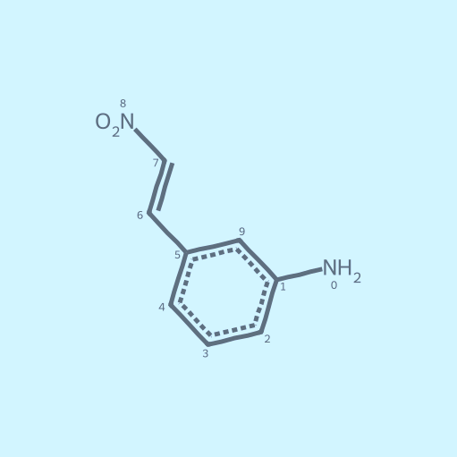 Nc1cccc(C=C[N+](=O)[O-])c1